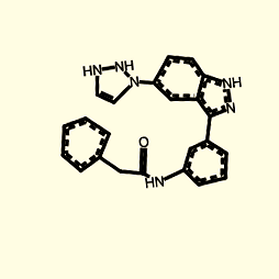 O=C(Cc1ccccc1)Nc1cccc(-c2n[nH]c3ccc(N4C=CNN4)cc23)c1